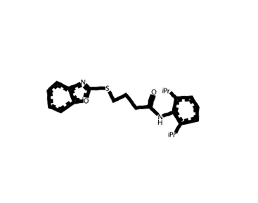 CC(C)c1cccc(C(C)C)c1NC(=O)CCCSc1nc2ccccc2o1